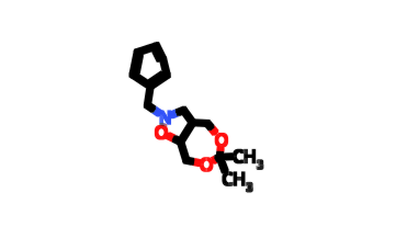 CC1(C)OCC2CN(Cc3ccccc3)OC2CO1